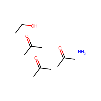 CC(C)=O.CC(C)=O.CC(C)=O.CCO.N